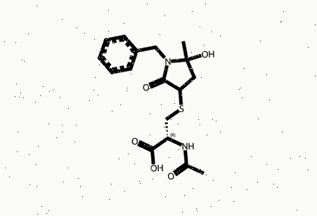 CC(=O)N[C@@H](CSC1CC(C)(O)N(Cc2ccccc2)C1=O)C(=O)O